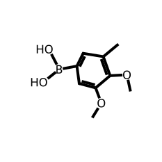 COc1cc(B(O)O)cc(C)c1OC